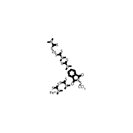 CN(C)C(=S)[S-].CN(C)C(=S)[S-].CN(C)C(=S)[S-].CN(C)C(=S)[S][Zn][S]C(=S)N(C)C.O=C1c2ccccc2C(=O)N1SC(Cl)(Cl)Cl.[Fe+3]